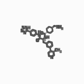 Cc1cnccc1-c1cccc(C[C@H](NC(=O)[C@H]2CC[C@H](CN)CC2)C(=O)Nc2ccc(-c3nnn[nH]3)cc2)c1